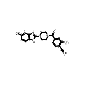 C#Cc1ccc(C(=O)N2CCN(c3nc4nc(Cl)ccc4o3)CC2)cc1C(F)(F)F